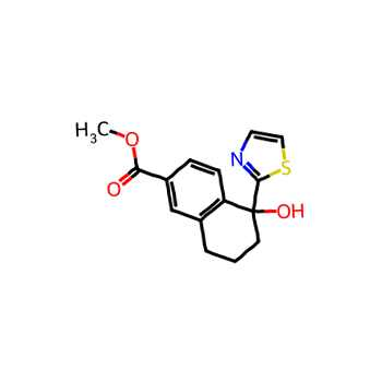 COC(=O)c1ccc2c(c1)CCCC2(O)c1nccs1